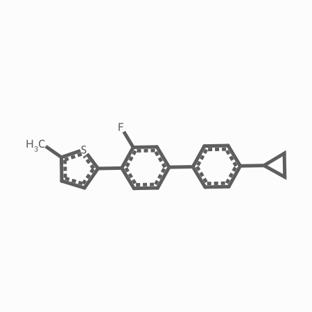 Cc1ccc(-c2ccc(-c3ccc(C4CC4)cc3)cc2F)s1